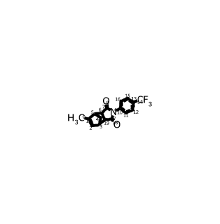 CC1=CC2CC1C1C(=O)N(c3ccc(C(F)(F)F)cc3)C(=O)C21